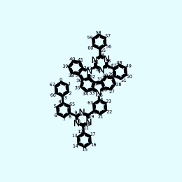 c1ccc(-c2cccc(-c3nc(-c4ccccc4)nc(-c4cccc(-n5c6ccccc6c6c5ccc5c7ccccc7n(-c7nc(-c8ccccc8)nc(-c8ccccc8)n7)c56)c4)n3)c2)cc1